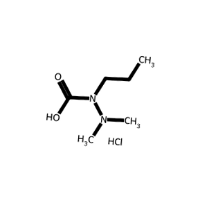 CCCN(C(=O)O)N(C)C.Cl